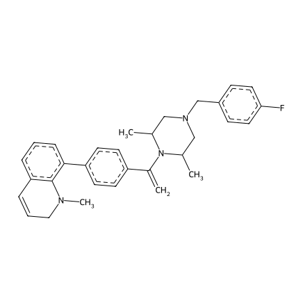 C=C(c1ccc(-c2cccc3c2N(C)CC=C3)cc1)N1C(C)CN(Cc2ccc(F)cc2)CC1C